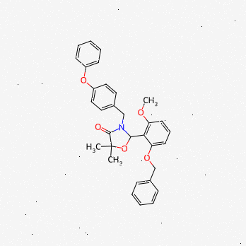 COc1cccc(OCc2ccccc2)c1C1OC(C)(C)C(=O)N1Cc1ccc(Oc2ccccc2)cc1